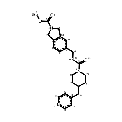 CC(C)(C)OC(=O)N1Cc2ccc(CNC(=O)N3CCC(Cc4ccncc4)CC3)cc2C1